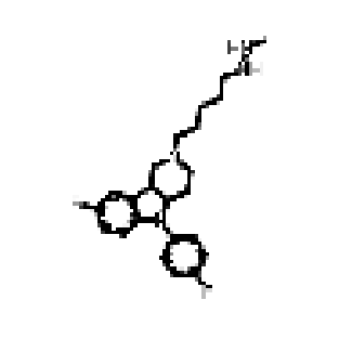 CNNCCCCCN1CCC2C(C1)c1cc(F)ccc1N2c1ccc(F)cc1